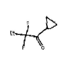 CCC(F)(F)C(=O)C1CC1